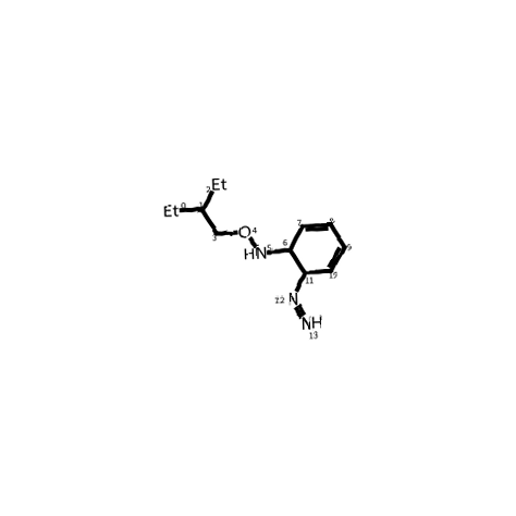 CCC(CC)CONC1C=CC=CC1N=N